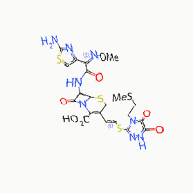 CO/N=C(\C(=O)NC1C(=O)N2C(C(=O)O)=C(/C=C/Sc3n[nH]c(=O)c(=O)n3CCSC)CSC12)c1csc(N)n1